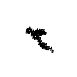 CNc1nc(-c2cccnc2)nc2ccc(OCCCN3CCN(C)CC3)cc12.Cl.Cl.Cl.Cl